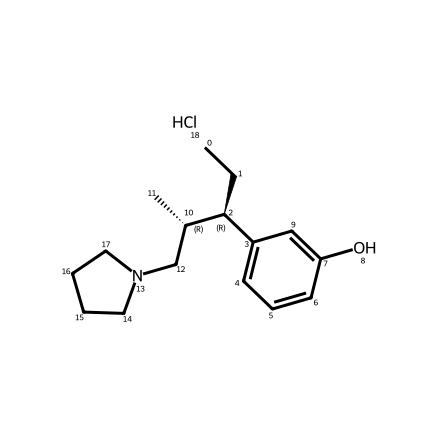 CC[C@@H](c1cccc(O)c1)[C@@H](C)CN1CCCC1.Cl